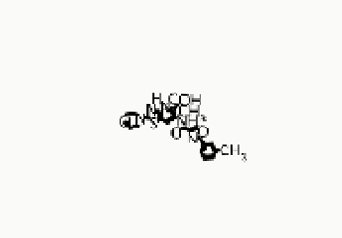 Cc1cccc(-c2nc(C(=O)Nc3cc4sc(N5CCOCC5)nc4nc3C(C)(C)O)co2)c1